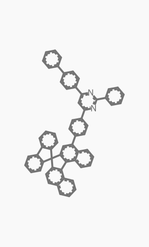 c1ccc(-c2ccc(-c3cc(-c4ccc(-c5cc6c(c7ccccc57)-c5c(ccc7ccccc57)C65c6ccccc6-c6ccccc65)cc4)nc(-c4ccccc4)n3)cc2)cc1